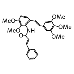 COc1cc(/C=C/c2ccc(OC)c(OC)c2NC(=O)/C=C/c2ccccc2)cc(OC)c1OC